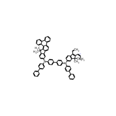 C=CC1=C(/C=C\C)C(C)(C)c2cc(N(c3ccc(-c4ccccc4)cc3)c3ccc(-c4ccc(N(c5ccc(-c6ccccc6)cc5)c5ccc6c(c5)-c5ccc7c8ccccc8c8ccccc8c7c5C6(C)C)cc4)cc3)ccc21